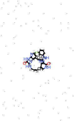 COc1c(F)cccc1Nc1c2[nH]c3c1C(=O)NC[C@@H]3C/C=C\CNc1nc3c-2ccnc3[nH]c1=O